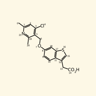 Cc1cc(Cl)c(COc2ccc3c(CC(=O)O)csc3c2)c(C)n1